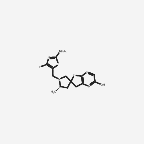 CC(=O)Nc1nc(F)c(CN2CC3(Cc4nc(O)cnc4O3)C[C@@H]2C)s1